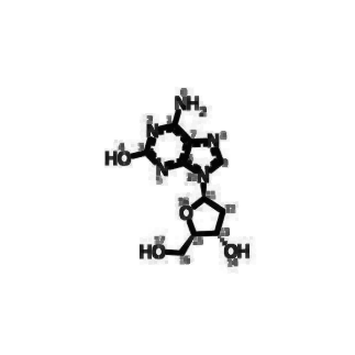 Nc1nc(O)nc2c1ncn2[C@H]1C[C@H](O)[C@@H](CO)O1